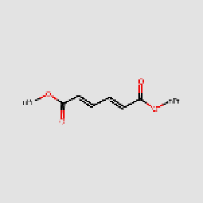 CCCOC(=O)/C=C/C=C/C(=O)OCCC